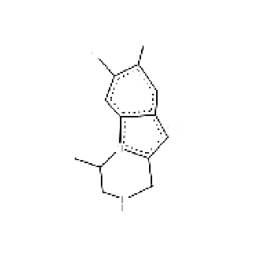 Cc1cc2cc3n(c2cc1C(F)(F)F)C(C)CNC3.Cl